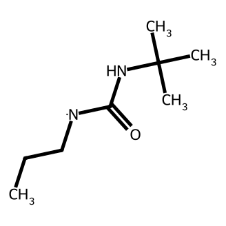 CCC[N]C(=O)NC(C)(C)C